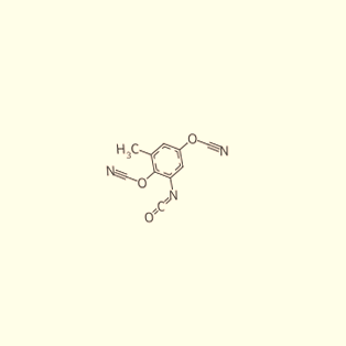 Cc1cc(OC#N)cc(N=C=O)c1OC#N